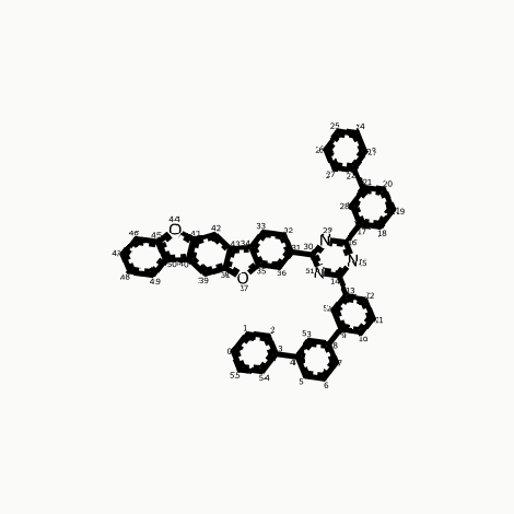 c1ccc(-c2cccc(-c3cccc(-c4nc(-c5cccc(-c6ccccc6)c5)nc(-c5ccc6c(c5)oc5cc7c(cc56)oc5ccccc57)n4)c3)c2)cc1